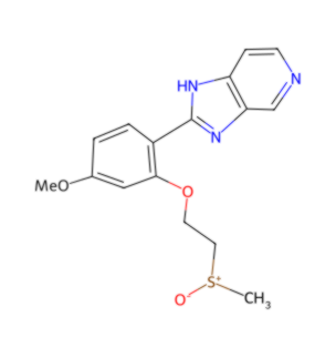 COc1ccc(-c2nc3cnccc3[nH]2)c(OCC[S+](C)[O-])c1